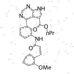 CCCOC(=O)c1c[nH]c2ncnc(-c3cccc(NC(=O)/C=C\c4ccccc4OC)c3)c12